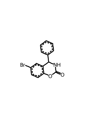 O=C1NC(c2ccccc2)c2cc(Br)ccc2O1